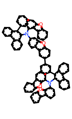 c1ccc(-c2c(N(c3ccc4c(c3)oc3ccc(-c5cccc(-c6c(N(c7cccc8c7oc7ccccc78)c7cccc8c7oc7ccccc78)c7ccccc7c7ccccc67)c5)cc34)c3cccc4oc5ccccc5c34)c3ccccc3c3ccccc23)cc1